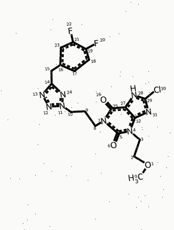 COCCn1c(=O)n(CCCn2nnc(Cc3ccc(F)c(F)c3)n2)c(=O)c2[nH]c(Cl)nc21